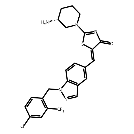 N[C@@H]1CCCN(C2=NC(=O)/C(=C/c3ccc4c(cnn4Cc4ccc(Cl)cc4C(F)(F)F)c3)S2)C1